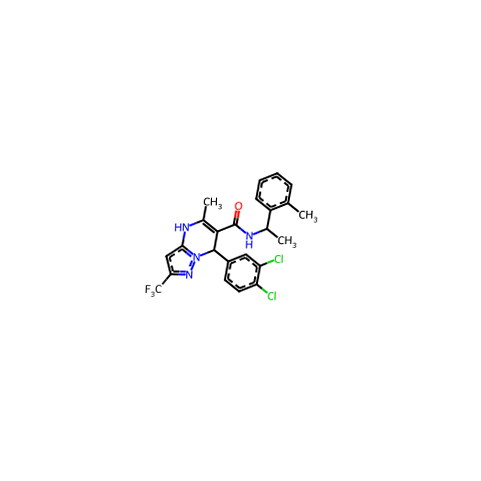 CC1=C(C(=O)NC(C)c2ccccc2C)C(c2ccc(Cl)c(Cl)c2)n2nc(C(F)(F)F)cc2N1